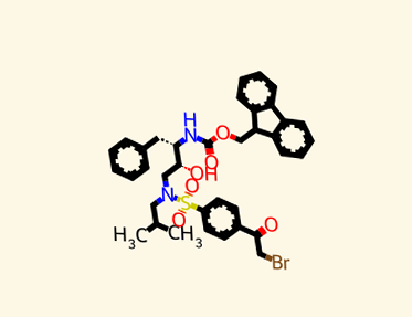 CC(C)CN(C[C@@H](O)[C@H](Cc1ccccc1)NC(=O)OCC1c2ccccc2-c2ccccc21)S(=O)(=O)c1ccc(C(=O)CBr)cc1